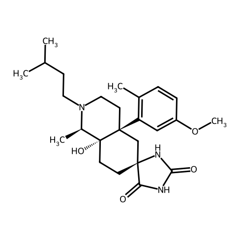 COc1ccc(C)c([C@]23CCN(CCC(C)C)[C@H](C)[C@]2(O)CC[C@@]2(C3)NC(=O)NC2=O)c1